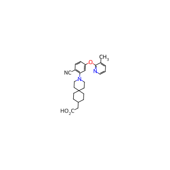 Cc1cccnc1Oc1ccc(C#N)c(N2CCC3(CCC(CC(=O)O)CC3)CC2)c1